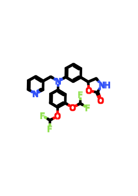 O=C1NCC(c2cccc(N(Cc3cccnc3)c3ccc(OC(F)F)c(OC(F)F)c3)c2)O1